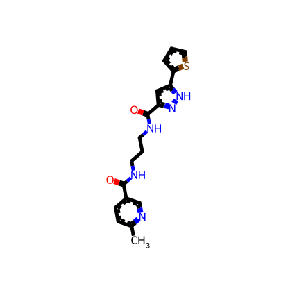 Cc1ccc(C(=O)NCCCNC(=O)c2cc(-c3cccs3)[nH]n2)cn1